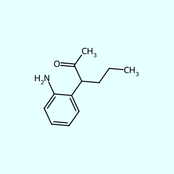 CCCC(C(C)=O)c1ccccc1N